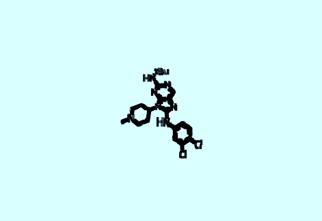 CN1CCC(n2c(Nc3ccc(Cl)c(Cl)c3)nc3cnc(NC(C)(C)C)nc32)CC1